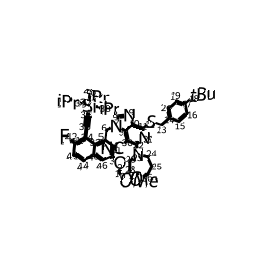 COCOc1cc(Cn2cnc3c(SCc4ccc(C(C)(C)C)cc4)nc(N4CCCOCC4)c(C#N)c32)c2c(C#C[Si](C(C)C)(C(C)C)C(C)C)c(F)ccc2c1